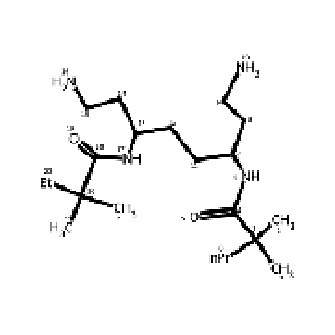 CCCC(C)(C)C(=O)NC(CCN)CCC(CCN)NC(=O)C(C)(C)CC